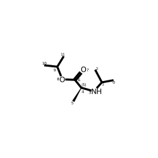 CC(C)N[C@@H](C)C(=O)OC(C)C